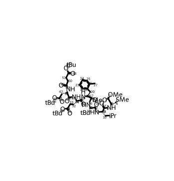 COC(OC)[C@H](CSC)NC(=O)[C@H](CC(C)C)NC(=O)[C@@H](NC(=O)[C@H](Cc1ccccc1C)NC(=O)[C@H](CCC(=O)OC(C)(C)C)NC(=O)[C@H](CC(=O)OC(C)(C)C)NC(=O)CCC(=O)OC(C)(C)C)C(C)(C)C